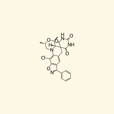 C[C@@H]1CN2c3c(cc4c(-c5ccccc5)noc4c3Cl)CC3(C(=O)NC(=O)NC3=O)[C@H]2[C@H](C)O1